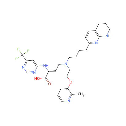 Cc1ncccc1OCCN(CCCCc1ccc2c(n1)NCCC2)CC[C@H](Nc1cc(C(F)(F)F)ncn1)C(=O)O